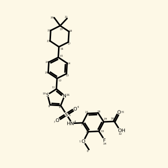 COc1c(NS(=O)(=O)c2csc(-c3ccc(C4CCC(C)(C)CC4)cc3)n2)ccc(C(=O)O)c1F